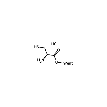 CCCCCOC(=O)[C@@H](N)CS.Cl